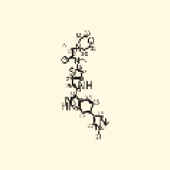 C[C@@H](C(=O)N(C)c1cc2[nH]c(-c3n[nH]c4cc(-c5cnn(C)c5)ccc34)cc2s1)N1CCOCC1